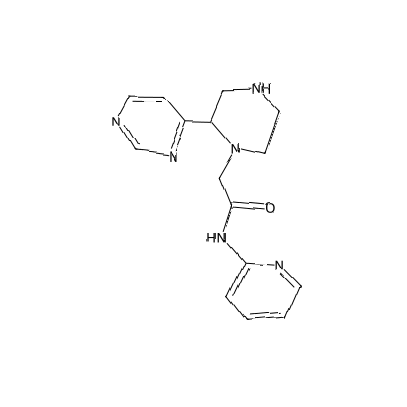 O=C(CN1CCNCC1c1ccncn1)Nc1ccccn1